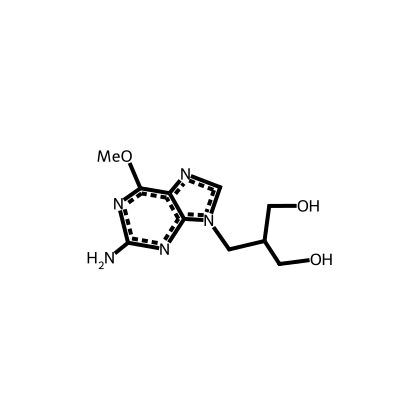 COc1nc(N)nc2c1ncn2CC(CO)CO